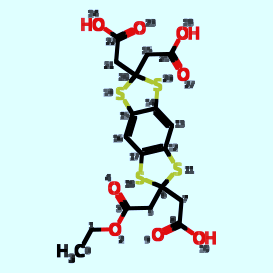 CCOC(=O)CC1(CC(=O)O)Sc2cc3c(cc2S1)SC(CC(=O)O)(CC(=O)O)S3